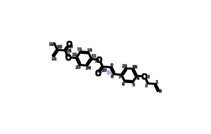 C=CCOc1ccc(/C=C/C(=O)Oc2ccc(OC(=O)C(=C)C)cc2)cc1